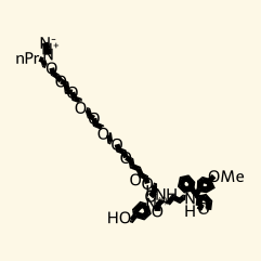 CCCC(COCCOCCOCCOCCOCCOCCOCCOCCCC(=O)COCC(=O)N[C@@H](CCCCNC(c1ccccc1)(c1ccccc1)c1ccc(OC)cc1)C(=O)Nc1ccc(CO)cc1)N=[N+]=[N-]